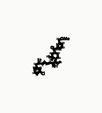 CC=C(C(=N)/C=C/C=C/C(CC)Cc1cccc(Cl)c1)N1CCN(C(=O)c2cccc(COC)n2)CC1(C)I